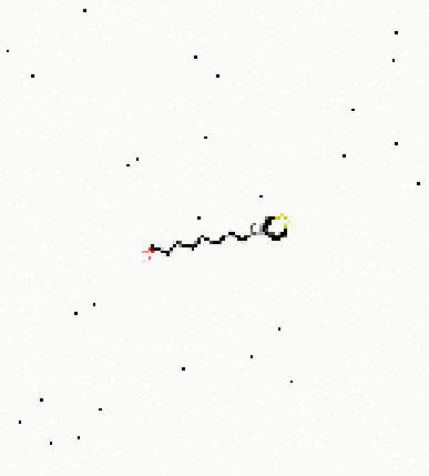 CCCCCCCCC=O.c1ccsc1